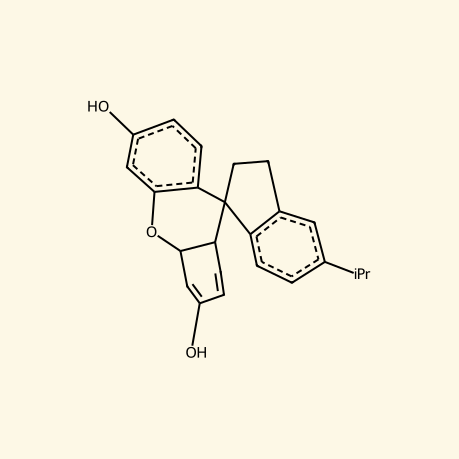 CC(C)c1ccc2c(c1)CCC21c2ccc(O)cc2OC2C=C(O)C=CC21